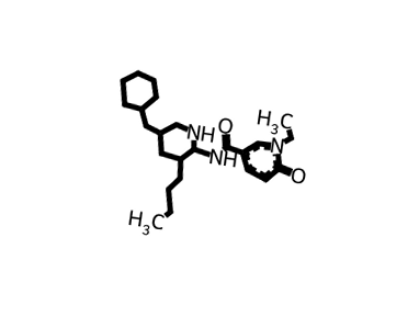 CCCCC1CC(CC2CCCCC2)CNC1NC(=O)c1ccc(=O)n(CC)c1